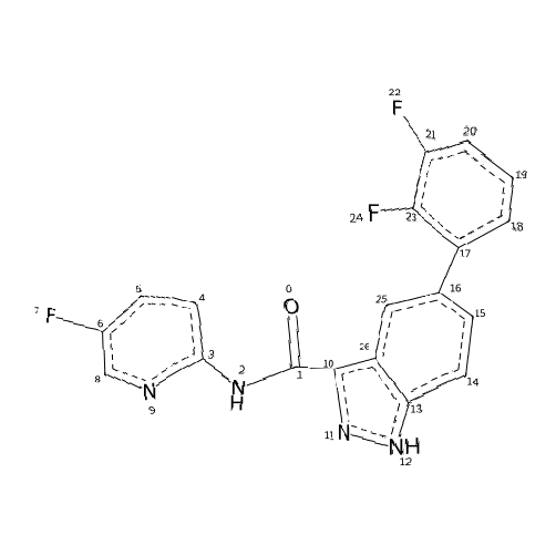 O=C(Nc1ccc(F)cn1)c1n[nH]c2ccc(-c3cccc(F)c3F)cc12